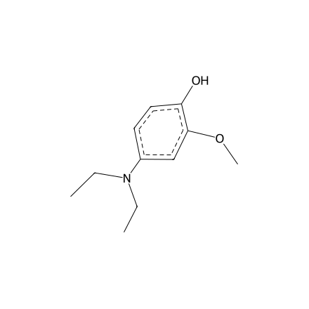 CCN(CC)c1ccc(O)c(OC)c1